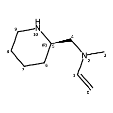 C=CN(C)C[C@H]1CCCCN1